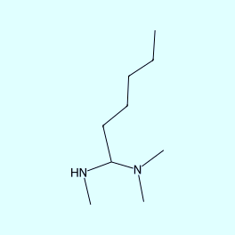 CCCCCC(NC)N(C)C